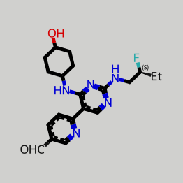 CC[C@H](F)CNc1ncc(-c2ccc(C=O)cn2)c(NC2CCC(O)CC2)n1